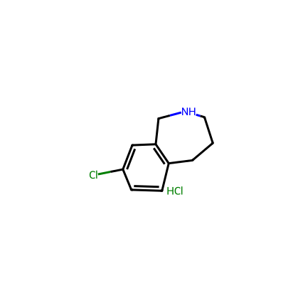 Cl.Clc1ccc2c(c1)CNCCC2